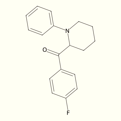 O=C(c1ccc(F)cc1)C1CCCCN1c1ccccc1